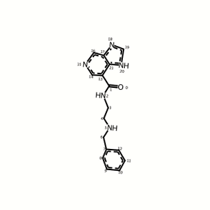 O=C(NCCNCc1ccccc1)c1cncc2nc[nH]c12